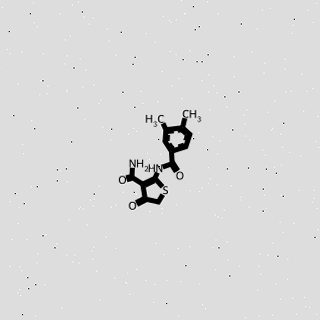 Cc1ccc(C(=O)NC2=C(C(N)=O)C(=O)CS2)cc1C